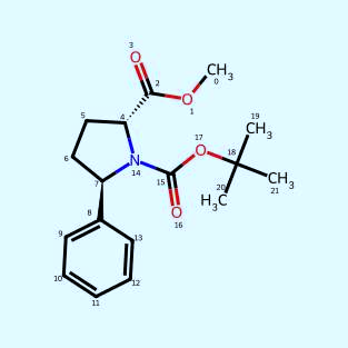 COC(=O)[C@H]1CC[C@H](c2ccccc2)N1C(=O)OC(C)(C)C